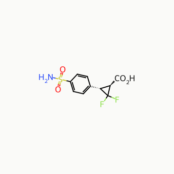 NS(=O)(=O)c1ccc([C@@H]2[C@@H](C(=O)O)C2(F)F)cc1